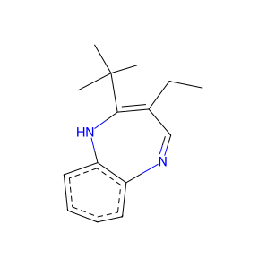 CCC1=C(C(C)(C)C)Nc2ccccc2N=C1